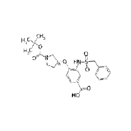 CC(C)(C)OC(=O)N1CC[C@@H](Oc2ccc(C(=O)O)cc2NS(=O)(=O)Cc2ccccc2)C1